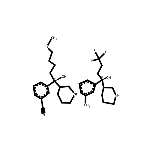 COCCCC[C@@](O)(c1cccc(C#N)c1)C1CCCNC1.Cc1cccc([C@](O)(CCC(F)(F)F)C2CCCNC2)c1